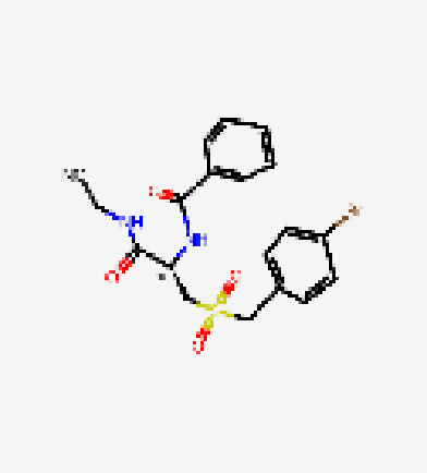 N#CCNC(=O)[C@H](CS(=O)(=O)Cc1ccc(Br)cc1)NC(=O)c1ccccc1